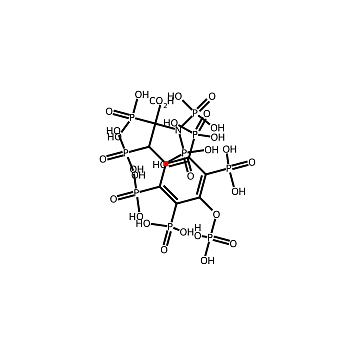 O=C(O)C(C(c1c(P(=O)(O)O)c(P(=O)(O)O)c(OP(=O)(O)O)c(P(=O)(O)O)c1P(=O)(O)O)P(=O)(O)O)(N(P(=O)(O)O)P(=O)(O)O)P(=O)(O)O